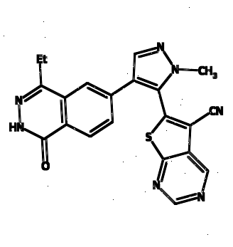 CCc1n[nH]c(=O)c2ccc(-c3cnn(C)c3-c3sc4ncncc4c3C#N)cc12